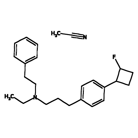 CC#N.CCN(CCCc1ccc(C2CCC2F)cc1)CCc1ccccc1